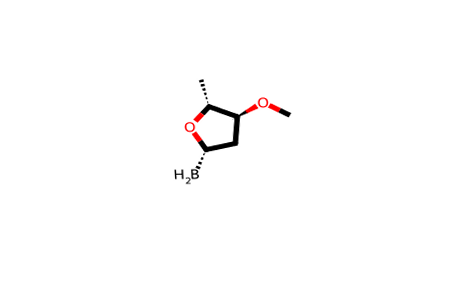 B[C@H]1C[C@H](OC)[C@@H](C)O1